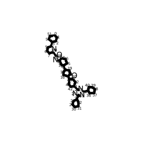 c1ccc(-c2cccc(-c3nc4cc(-c5ccc6c(c5)oc5cc(-c7nc(-c8ccccc8)nc(-c8ccccc8)n7)ccc56)ccc4o3)n2)cc1